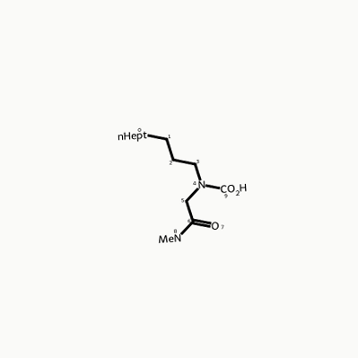 CCCCCCCCCCN(CC(=O)NC)C(=O)O